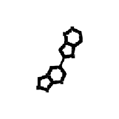 c1cc2nc(-c3cnc4nncn4c3)cn2nn1